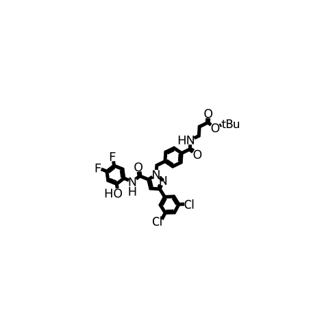 CC(C)(C)OC(=O)CCNC(=O)c1ccc(Cn2nc(-c3cc(Cl)cc(Cl)c3)cc2C(=O)Nc2cc(F)c(F)cc2O)cc1